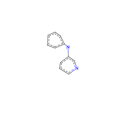 c1ccc([N]c2cccnc2)cc1